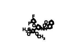 CCOc1cc(=O)n(C)cc1-c1cc(NC(=O)Cc2ccc3ccccc3c2C=O)ccc1Oc1ccc(F)cc1F